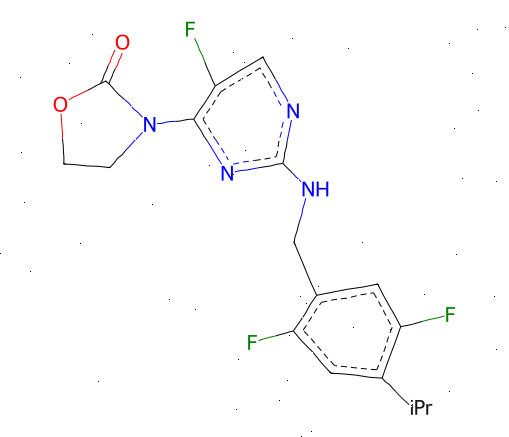 CC(C)c1cc(F)c(CNc2ncc(F)c(N3CCOC3=O)n2)cc1F